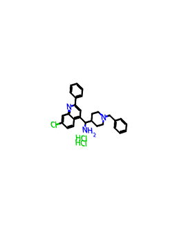 Cl.Cl.NC(c1cc(-c2ccccc2)nc2cc(Cl)ccc12)C1CCN(Cc2ccccc2)CC1